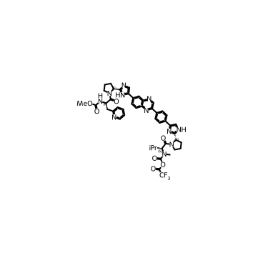 COC(=O)N[C@H](Cc1ccccn1)C(=O)N1CCC[C@H]1c1ncc(-c2ccc3nc(-c4ccc(-c5c[nH]c([C@@H]6CCCN6C(=O)[C@H](C(C)C)N(C)C(=O)OC(=O)C(F)(F)F)n5)cc4)cnc3c2)[nH]1